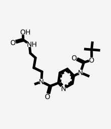 CN(CCCCNC(=O)O)C(=O)c1ccc(N(C)C(=O)OC(C)(C)C)cn1